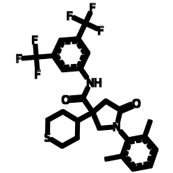 Cc1cccc(C)c1N1CC(C(=O)Nc2cc(C(F)(F)F)cc(C(F)(F)F)c2)(C2CCSCC2)CC1=O